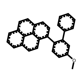 COc1ccc(-c2ccc3ccc4cccc5ccc2c3c45)c(-c2ccccc2)c1